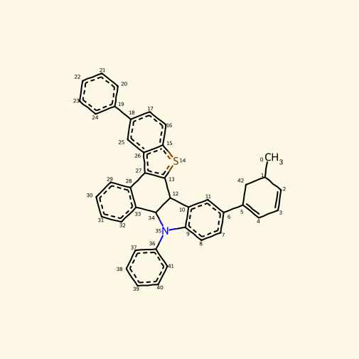 CC1C=CC=C(c2ccc3c(c2)C2c4sc5ccc(-c6ccccc6)cc5c4-c4ccccc4C2N3c2ccccc2)C1